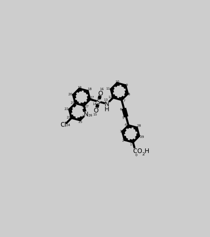 O=C(O)c1ccc(C#Cc2ccccc2NS(=O)(=O)c2cccc3cc(Cl)cnc23)cc1